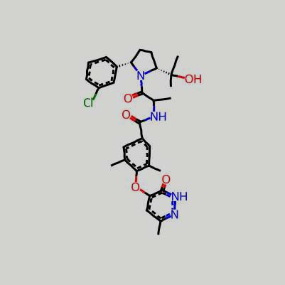 Cc1cc(Oc2c(C)cc(C(=O)NC(C)C(=O)N3[C@H](c4cccc(Cl)c4)CC[C@@H]3C(C)(C)O)cc2C)c(=O)[nH]n1